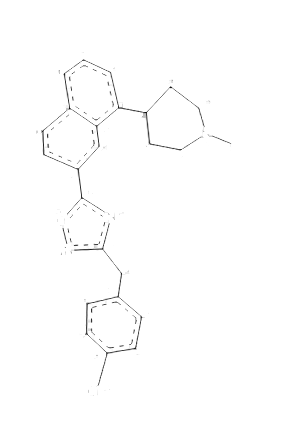 CN1CCC(c2cccc3ccc(-c4nc(Cc5ccc(Cl)cc5)no4)cc23)CC1